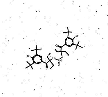 CCC(CC)(O[PH](=O)OC(CC)(CC)C(=O)c1cc(C(C)(C)C)c(O)c(C(C)(C)C)c1)C(=O)c1cc(C(C)(C)C)c(O)c(C(C)(C)C)c1